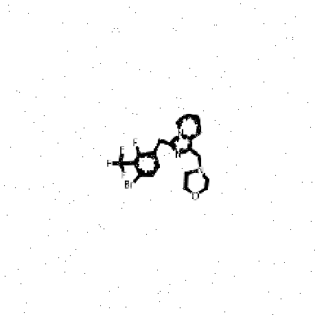 Fc1c(Cc2nc(CN3CCOCC3)c3ccccn23)ccc(Br)c1C(F)(F)F